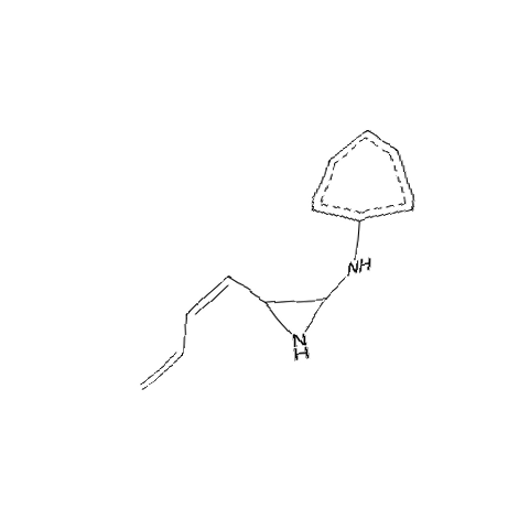 C=C/C=C\C1NC1Nc1ccccc1